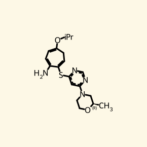 CC(C)OC1=CC=C(N)C(Sc2cc(N3CCO[C@H](C)C3)ncn2)=CC1